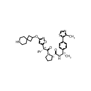 Cc1ncsc1-c1ccc([C@H](C)NC(=O)[C@@H]2CCCN2C(=O)[C@@H](c2cc(OC3CC4(CCNCC4)C3)no2)C(C)C)cc1